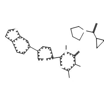 Cc1nc(-c2ccc(-c3ccc4cc[nH]c4c3)cc2)n(C[C@@H]2CCN(C(=O)C3CC3)C2)c(=O)c1C